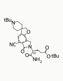 CC(C)(C)OC(=O)CC[C@@H](C(N)=O)N1Cc2c3c(cc(C#N)c2C1=O)C1(CCN(C(C)(C)C)CC1)CO3